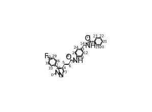 Cn1ncc(/C=C/C(=O)Nc2ccc(CNC(=O)c3ccccc3)cc2)c1-c1ccc(F)cc1